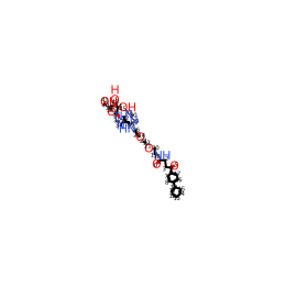 O=C(CCC(=O)c1ccc(-c2ccccc2)cc1)NCCOCCOCCNc1ncnc2c1ncn2[C@@H]1O[C@H](CO)C(O)C1O